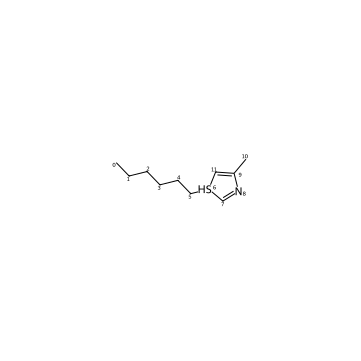 CCCCCC[SH]1C=NC(C)=C1